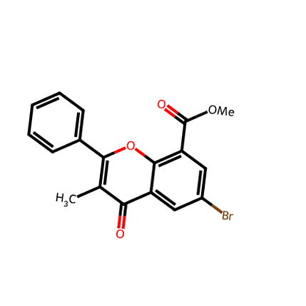 COC(=O)c1cc(Br)cc2c(=O)c(C)c(-c3ccccc3)oc12